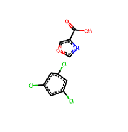 Clc1cc(Cl)cc(Cl)c1.O=C(O)c1cocn1